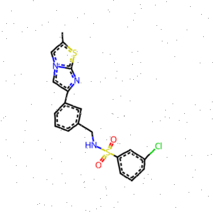 Cc1cn2cc(-c3cccc(CNS(=O)(=O)c4cccc(Cl)c4)c3)nc2s1